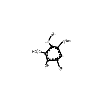 CCCCCCCCCc1cc(O)c(O)c(C(=O)O)c1OCCC